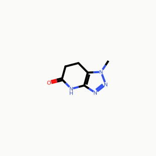 Cn1nnc2c1CCC(=O)N2